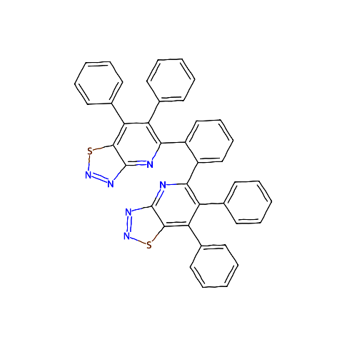 c1ccc(-c2c(-c3ccccc3-c3nc4nnsc4c(-c4ccccc4)c3-c3ccccc3)nc3nnsc3c2-c2ccccc2)cc1